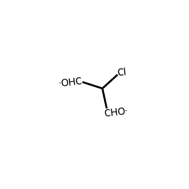 O=[C]C(Cl)[C]=O